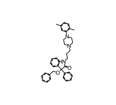 Cc1ccc(C)c(N2CCN(CCCNC(=O)C(OCc3ccccc3)(c3ccccc3)c3ccccc3)CC2)c1